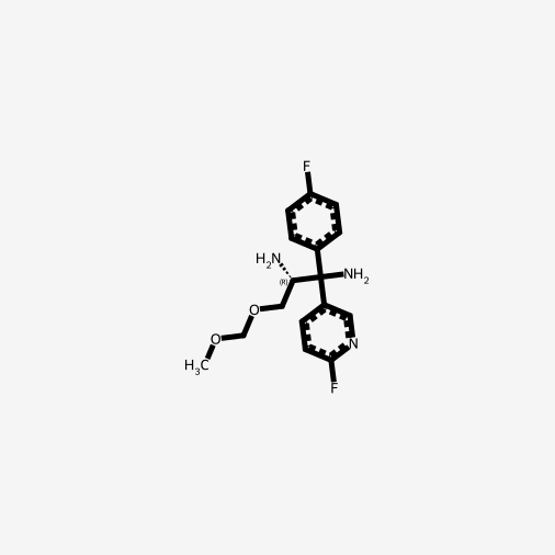 COCOC[C@H](N)C(N)(c1ccc(F)cc1)c1ccc(F)nc1